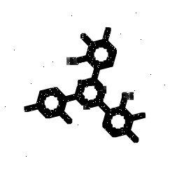 Cc1ccc(-c2nc(-c3ccc(C)c(C)c3O)nc(-c3ccc(C)c(C)c3O)n2)c(C)c1